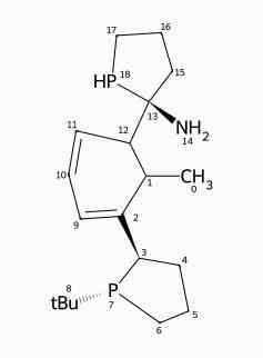 CC1C([C@H]2CCC[P@]2C(C)(C)C)=CC=CC1[C@@]1(N)CCCP1